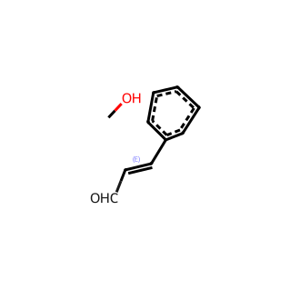 CO.O=C/C=C/c1ccccc1